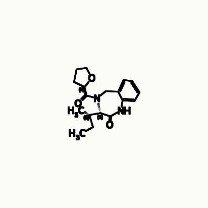 CC[C@H](C)[C@H]1C(=O)Nc2ccccc2CN1C(=O)[C@H]1CCCO1